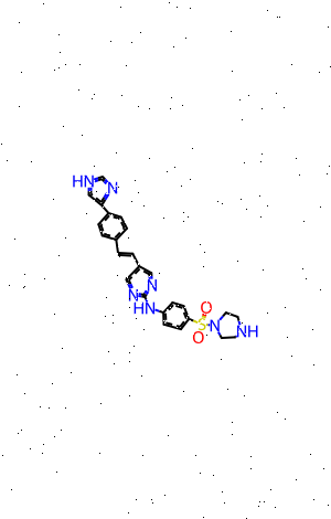 O=S(=O)(c1ccc(Nc2ncc(/C=C/c3ccc(-c4c[nH]cn4)cc3)cn2)cc1)N1CCNCC1